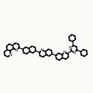 c1ccc(-c2cc(-c3ccccc3)nc(-c3ccc4ccc(-c5ccc6nc(-c7ccc8cc(-c9ccc%10ccc%11cccnc%11c%10n9)ccc8c7)ccc6c5)cc4n3)n2)cc1